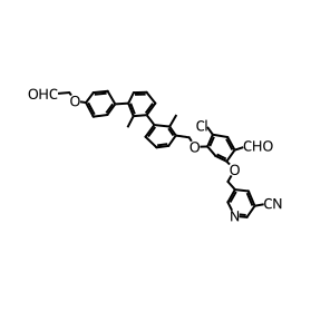 Cc1c(COc2cc(OCc3cncc(C#N)c3)c(C=O)cc2Cl)cccc1-c1cccc(-c2ccc(OCC=O)cc2)c1C